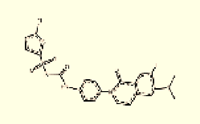 CN(C)c1cc2ccn(-c3ccc(NC(=O)NS(=O)(=O)c4ccc(Cl)s4)cc3)c(=O)c2cc1F